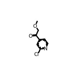 COCC(=O)c1ccnc(Cl)c1